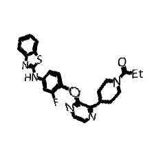 CCC(=O)N1CCC(c2nccnc2Oc2ccc(Nc3nc4ccccc4s3)cc2F)CC1